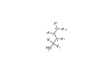 OC(F)(F)C(F)C(F)C(F)F